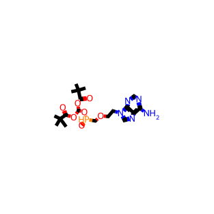 CC(C)(C)C(=O)OC(OC(=O)C(C)(C)C)O[PH](=O)COCCn1cnc2c(N)ncnc21